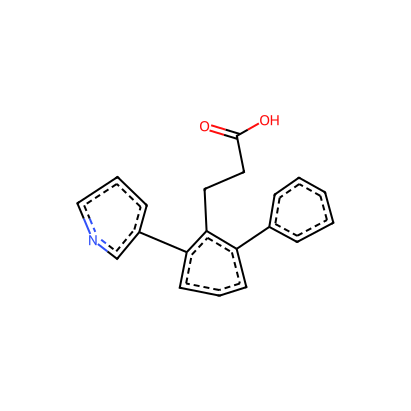 O=C(O)CCc1c(-c2ccccc2)cccc1-c1cccnc1